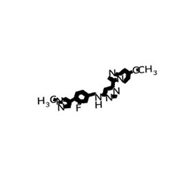 COc1ccn2c(-c3cc(NCc4ccc(-c5cnn(C)c5)c(F)c4)ncn3)cnc2c1